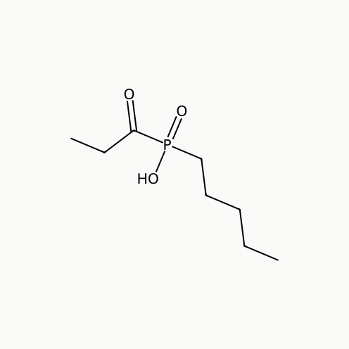 CCCCCP(=O)(O)C(=O)CC